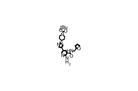 CC(C)(C)OC(=O)N1CCC(n2cc(-c3cnc(N)c(C(=O)NCc4ccco4)c3)cn2)CC1